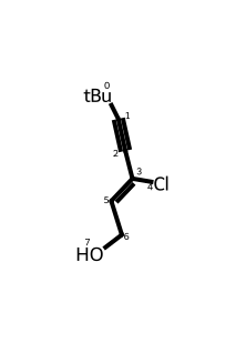 CC(C)(C)C#CC(Cl)=CCO